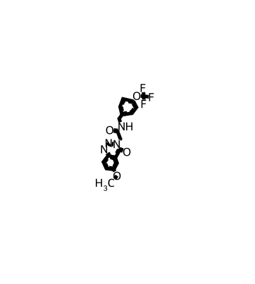 COc1ccc2nnn(CC(=O)NCc3ccc(OC(F)(F)F)cc3)c(=O)c2c1